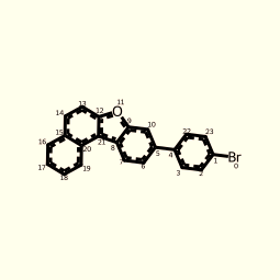 Brc1ccc(-c2ccc3c(c2)oc2ccc4ccccc4c23)cc1